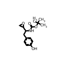 CC(C)(C)OC(=O)NC(Cc1ccc(O)cc1)C1CO1